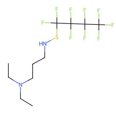 CCN(CC)CCCNSC(F)(F)C(F)(F)C(F)(F)C(F)(F)F